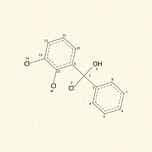 OC(Cl)(c1ccccc1)c1cccc(Cl)c1Cl